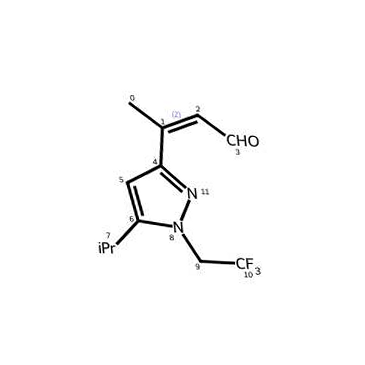 C/C(=C/C=O)c1cc(C(C)C)n(CC(F)(F)F)n1